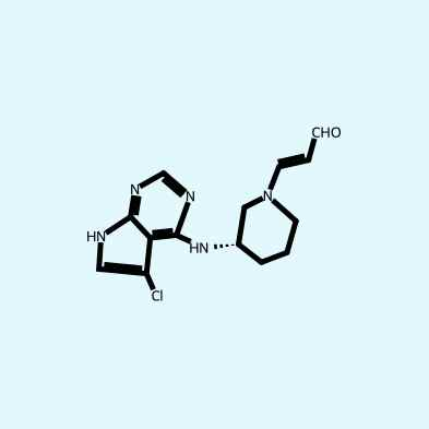 O=CC=CN1CCC[C@H](Nc2ncnc3[nH]cc(Cl)c23)C1